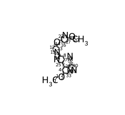 CCOc1cc(-c2ccc(N3CCC(Oc4ccc(OC)nc4)C3)nc2)c2c(C#N)cnn2c1